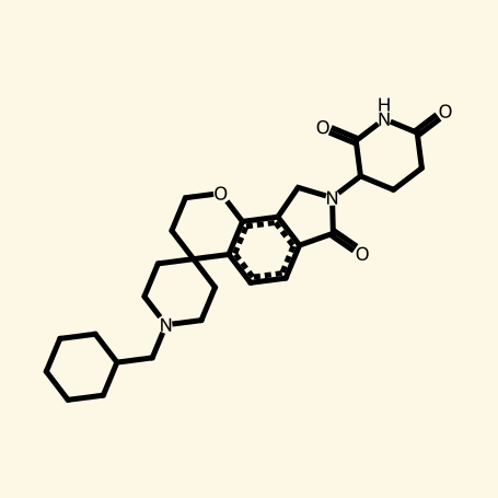 O=C1CCC(N2Cc3c(ccc4c3OCCC43CCN(CC4CCCCC4)CC3)C2=O)C(=O)N1